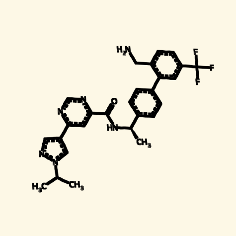 CC(C)n1cc(-c2cc(C(=O)N[C@H](C)c3ccc(-c4cc(C(F)(F)F)ccc4CN)cc3)ncn2)cn1